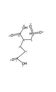 O=C(O)CCC(C[SH](=O)=O)C(=O)O